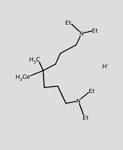 CCN(CC)CCC[C](C)([GeH3])CCCN(CC)CC.[H-]